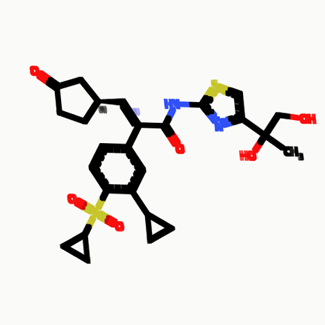 CC(O)(CO)c1csc(NC(=O)/C(=C/[C@H]2CCC(=O)C2)c2ccc(S(=O)(=O)C3CC3)c(C3CC3)c2)n1